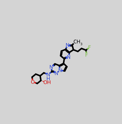 CC1=Nc2ccc(-c3ccn4nc(NCC5CCOC[C@H]5O)ncc34)nc2C1CCC(F)F